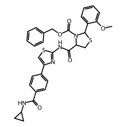 COc1ccccc1C1SCC(C(=O)Nc2nc(-c3ccc(C(=O)NC4CC4)cc3)cs2)N1C(=O)OCc1ccccc1